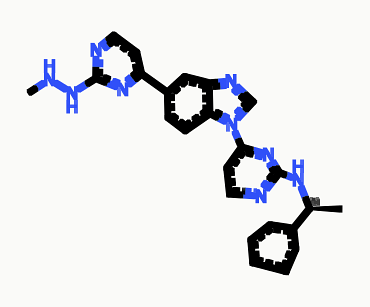 CNNc1nccc(-c2ccc3c(c2)ncn3-c2ccnc(N[C@@H](C)c3ccccc3)n2)n1